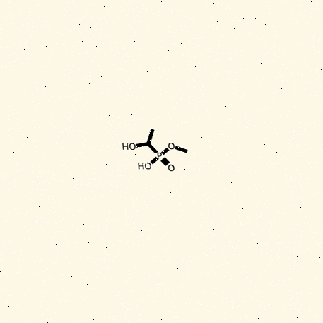 [CH2]C(O)P(=O)(O)OC